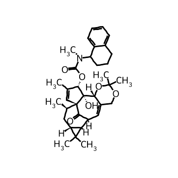 CC1=C[C@]23C(=O)[C@@H](C=C4COC(C)(C)O[C@H]4[C@]2(O)[C@H]1OC(=O)N(C)C1CCCc2ccccc21)[C@H]1[C@@H](C[C@H]3C)C1(C)C